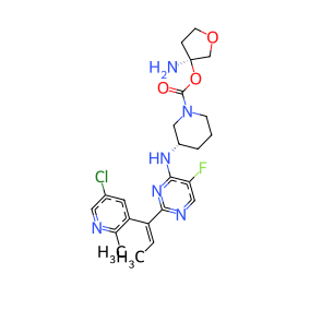 C/C=C(/c1ncc(F)c(N[C@H]2CCCN(C(=O)O[C@@]3(N)CCOC3)C2)n1)c1cc(Cl)cnc1C